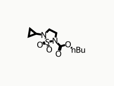 CCCCOC(=O)N1CCN(C2CC2)S1(=O)=O